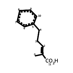 CC(=C[CH]Cc1ccccc1)C(=O)O